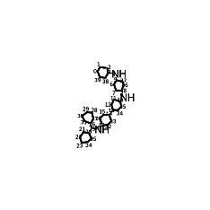 c1ccc(Nc2ccc(Nc3ccc(-c4ccc(NC(c5ccccc5)c5ccccc5)cc4)cc3)cc2)cc1